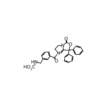 O=C(O)NCc1cccc(C(=O)N2C=C3N(CC2)C(=O)OC3(c2ccccc2)c2ccccc2)c1